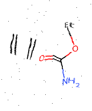 C=C.C=C.CCOC(N)=O